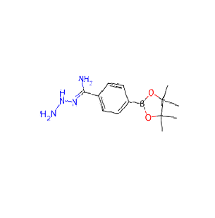 CC1(C)OB(c2ccc(/C(N)=N/NN)cc2)OC1(C)C